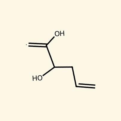 [CH]=C(O)C(O)CC=C